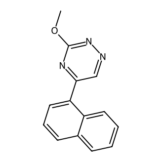 COc1nncc(-c2cccc3ccccc23)n1